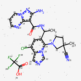 CC(NC(=O)c1c(N)nn2cccnc12)c1cc(Cl)c2cncn2c1N1CCC(C)(C#N)C1.O=C(O)C(F)(F)F